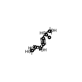 Cc1cc(Cc2cc(C)c(O)c(Cc3cc(I)c(OOc4c(I)cc(Cc5cc(-c6ccccc6)cc(Cc6cc(I)c(O)c(I)c6)c5O)cc4I)c(I)c3)c2C)c(C)c(Cc2cc(I)c(O)c(I)c2)c1O